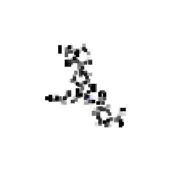 CN1CCCN(c2ccc3c(c2)[nH]/c(=N\C(=O)c2cccc(C(F)F)c2)n3CCCO)C1=O